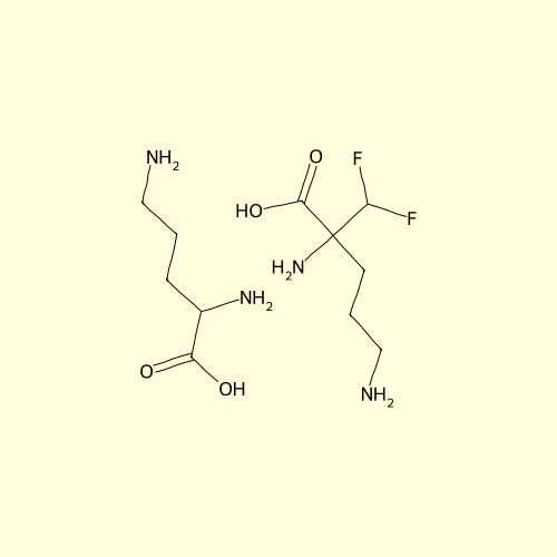 NCCCC(N)(C(=O)O)C(F)F.NCCCC(N)C(=O)O